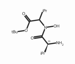 CC(C)C(C(=O)OC(C)(C)C)N(O)C(=O)[C@@H](N)C(C)C